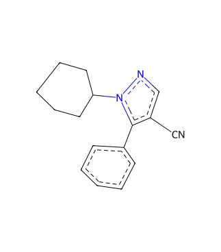 N#Cc1cnn(C2CCCCC2)c1-c1ccccc1